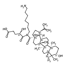 C=C(C)[C@@H]1CC[C@]2(C(=O)N(CCCCCCCN)C(=O)[C@H](O)CCC(=O)O)CC[C@]3(C)[C@H](CCC4[C@@]5(C)CC[C@H](O)C(C)(C)[C@@H]5CC[C@]43C)[C@@H]12